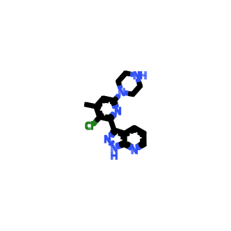 Cc1cc(N2CCNCC2)nc(-c2n[nH]c3ncccc23)c1Cl